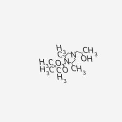 CC1CN(C[C@H](C)O)CC(C)N1C(=O)OC(C)(C)C